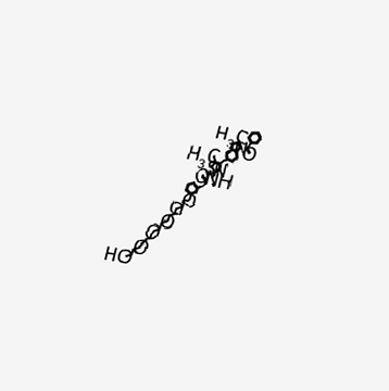 Cc1ccccc1C(=O)n1ccc2cc(-c3nc(NC(=O)Cc4cccc(OCCOCCOCCOCCOCCO)c4)sc3C)ccc21